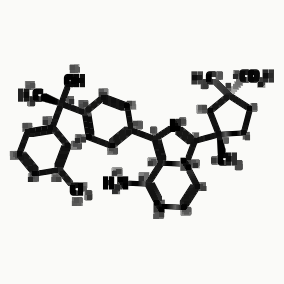 C[C@@]1(C(=O)O)CC[C@](C)(c2nc(-c3ccc([C@@](C)(O)c4cccc(C(F)(F)F)c4)cc3)c3c(N)nccn23)C1